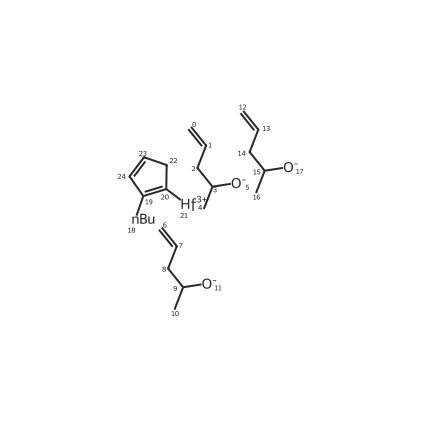 C=CCC(C)[O-].C=CCC(C)[O-].C=CCC(C)[O-].CCCCC1=[C]([Hf+3])CC=C1